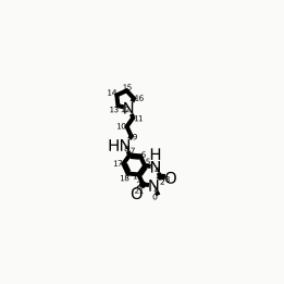 Cn1c(=O)[nH]c2cc(NCCCN3CCCC3)ccc2c1=O